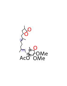 COC1=C(OC)[C@H](OC(C)=O)[C@H](C/C=C(\C)CC/C=C(\C)CC2CC(C)C(=O)O2)[C@@H](C)C1=O